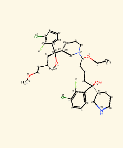 CCOC(CCCC(O)(c1cccc(Cl)c1F)[C@@H]1CCCNC1)N1CCC[C@@H]([C@](CCCCOC)(OC)c2cccc(Cl)c2F)C1